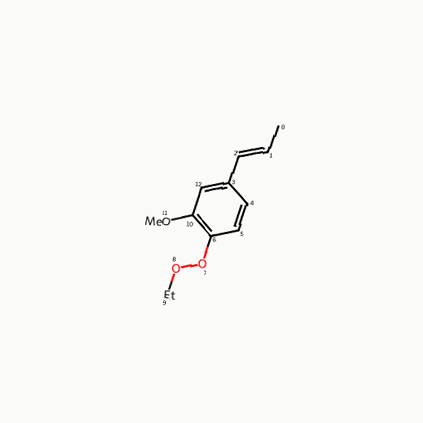 CC=Cc1ccc(OOCC)c(OC)c1